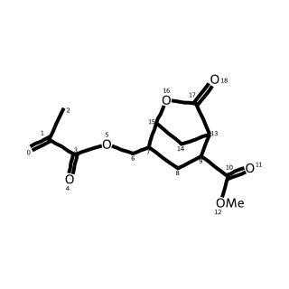 C=C(C)C(=O)OCC1CC(C(=O)OC)C2CC1OC2=O